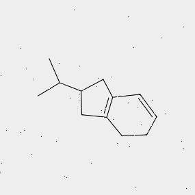 CC(C)C1CC2=C(CCC=C2)C1